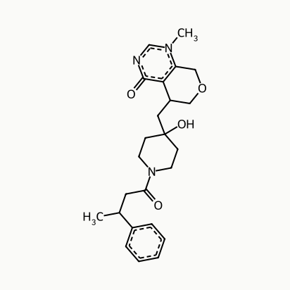 CC(CC(=O)N1CCC(O)(CC2COCc3c2c(=O)ncn3C)CC1)c1ccccc1